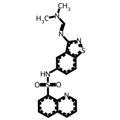 CN(C)/C=N/c1nsc2ccc(NS(=O)(=O)c3cccc4cccnc34)cc12